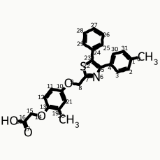 Cc1ccc(-c2nc(COc3ccc(OCC(=O)O)c(C)c3)sc2-c2ccccc2)cc1